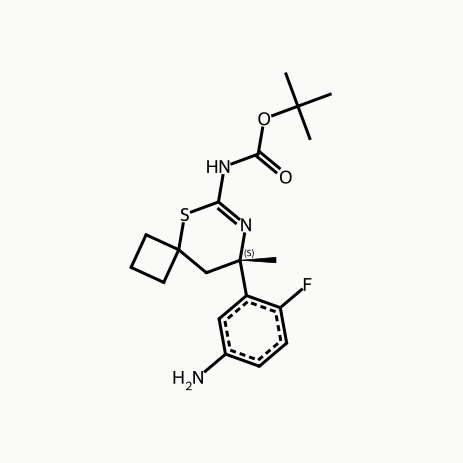 CC(C)(C)OC(=O)NC1=N[C@](C)(c2cc(N)ccc2F)CC2(CCC2)S1